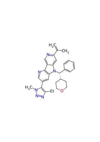 C=C(C)c1cc2c(cn1)c1ncc(-c3c(CC)nnn3C)cc1n2[C@H](c1ccccc1)C1CCOCC1